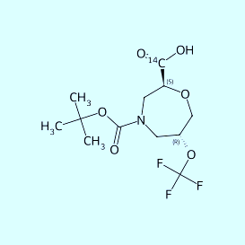 CC(C)(C)OC(=O)N1C[C@@H](OC(F)(F)F)CO[C@H]([14C](=O)O)C1